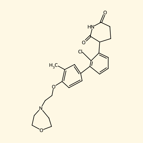 Cc1cc(-c2cccc(C3CCC(=O)NC3=O)c2Cl)ccc1OCCN1CCOCC1